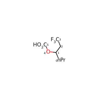 CCCC(CC(F)(F)F)OC(=O)O